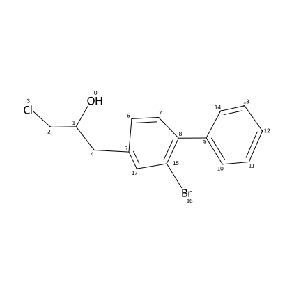 OC(CCl)Cc1ccc(-c2ccccc2)c(Br)c1